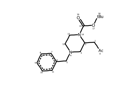 CC(=O)CC1CN(Cc2ccccc2)CCN1C(=O)OC(C)(C)C